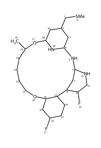 CSCC1CC2NC3CC(C(F)CN3)C3CCC(F)CC3OCCCCC(C)OC(C1)N2